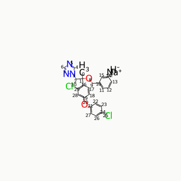 CC(Cn1cncn1)(OCc1ccccc1)c1ccc(Oc2ccc(Cl)cc2)cc1Cl.[H-].[Na+]